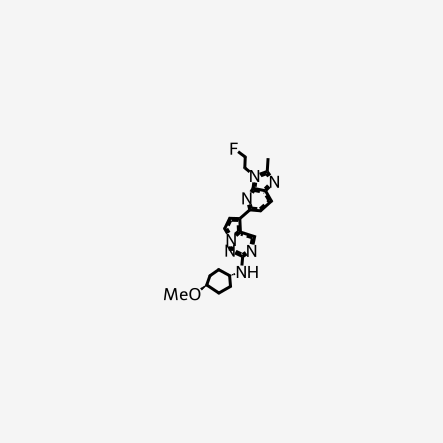 CO[C@H]1CC[C@H](Nc2ncc3c(-c4ccc5nc(C)n(CCF)c5n4)ccn3n2)CC1